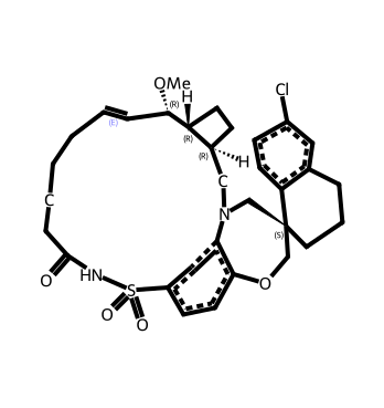 CO[C@H]1/C=C/CCCCC(=O)NS(=O)(=O)c2ccc3c(c2)N(C[C@@H]2CC[C@H]21)C[C@@]1(CCCc2cc(Cl)ccc21)CO3